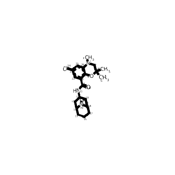 CN1CC(C)(C)Oc2c(C(=O)NC3CC4CCCC(C3)N4C)cc(Cl)cc21